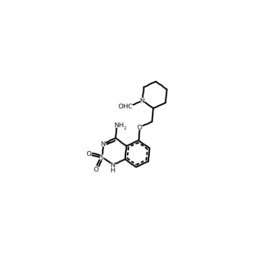 NC1=NS(=O)(=O)Nc2cccc(OCC3CCCCN3C=O)c21